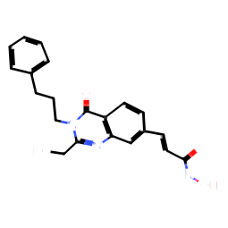 CCc1nc2cc(C=CC(=O)NO)ccc2c(=O)n1CCCc1ccccc1